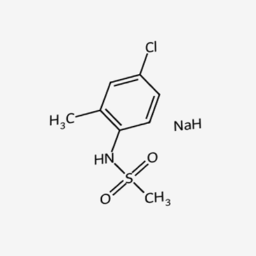 Cc1cc(Cl)ccc1NS(C)(=O)=O.[NaH]